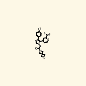 O=C(Cn1cnc(-c2ccc(Cl)cc2)c1-c1ccnc(C(F)F)c1)N1CC2(COC2)C1